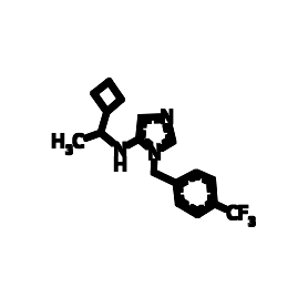 CC(Nc1cncn1Cc1ccc(C(F)(F)F)cc1)C1CCC1